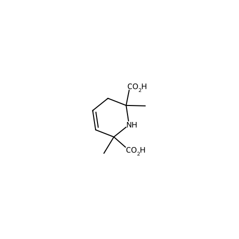 CC1(C(=O)O)C=CCC(C)(C(=O)O)N1